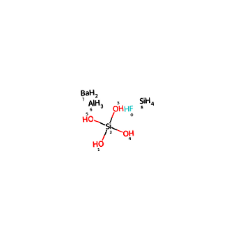 F.O[Si](O)(O)O.[AlH3].[BaH2].[SiH4]